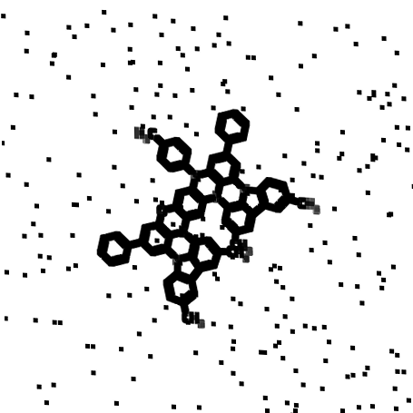 Cc1ccc(N2c3cc4c(cc3B3c5c2cc(-c2ccccc2)cc5-n2c5ccc(C)cc5c5cc(C)cc3c52)B2c3c(cc(-c5ccccc5)cc3-n3c5ccc(C)cc5c5cc(C)cc2c53)O4)cc1